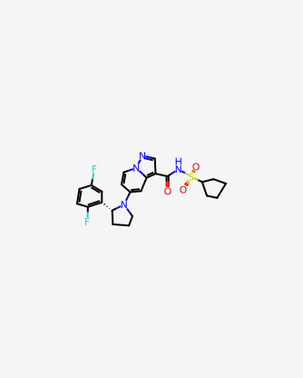 O=C(NS(=O)(=O)C1CCCC1)c1cnn2ccc(N3CCC[C@@H]3c3cc(F)ccc3F)cc12